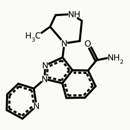 CC1CNCCN1c1nn(-c2ccccn2)c2cccc(C(N)=O)c12